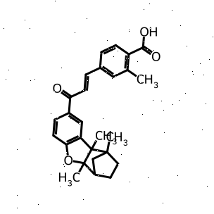 Cc1cc(C=CC(=O)c2ccc3c(c2)C2(C)C4(C)CCC(C4)C2(C)O3)ccc1C(=O)O